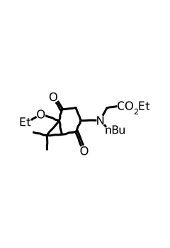 CCCCN(CC(=O)OCC)C1CC(=O)C2(OCC)C(C1=O)C2(C)C